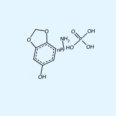 CCCN.O=P(O)(O)O.Oc1ccc2c(c1)OCO2